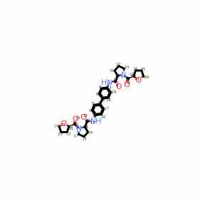 O=C(Nc1ccc(-c2ccc(NC(=O)C3CCCN3C(=O)[C@H]3CCCO3)cc2)cc1)C1CCCN1C(=O)[C@H]1CCCO1